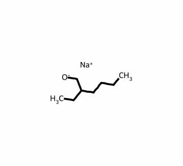 CCCCC(CC)C[O-].[Na+]